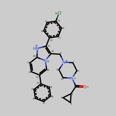 O=C(C1CC1)N1CCN(CC2=C(c3ccc(Cl)cc3)NC3C=CC(c4ccccc4)=CN23)CC1